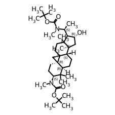 C[C@@H](C1[C@H](O)C[C@@]2(C)[C@@H]3CC[C@H]4C(C)(C)[C@@H](N(C)C(=O)OC(C)(C)C)CC[C@@]45C[C@@]35CC[C@]12C)N(C)C(=O)OC(C)(C)C